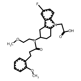 COCCN(C(=O)CCc1ccccc1OC)C1CCc2c(c3cc(F)ccc3n2CC(=O)O)C1